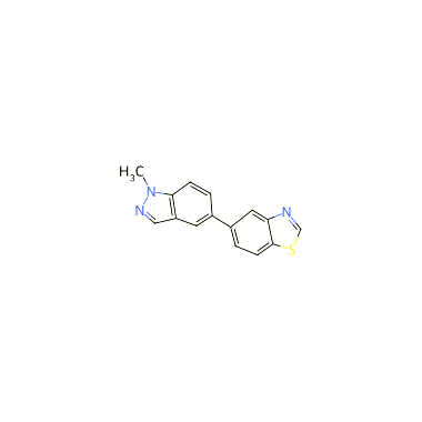 Cn1ncc2cc(-c3ccc4scnc4c3)ccc21